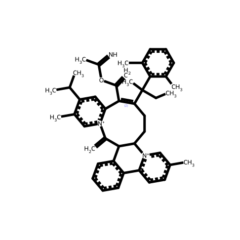 C=C(OC(C)=N)/C1=C(\C(C)(CC)c2c(C)cccc2C)CCC2C(C(=C)[n+]3cc(C)c(C(C)C)cc31)c1ccccc1-c1ccc(C)c[n+]12